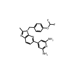 Cc1nc2ccc(-c3cc(N)nc(N)c3)nc2n1Cc1ccc(OC(F)F)cc1